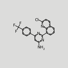 Nc1cc(-c2ccc(C(F)(F)F)cc2)nc(-c2cccc3ccc(Cl)nc23)n1